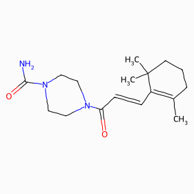 CC1=C(C=CC(=O)N2CCN(C(N)=O)CC2)C(C)(C)CCC1